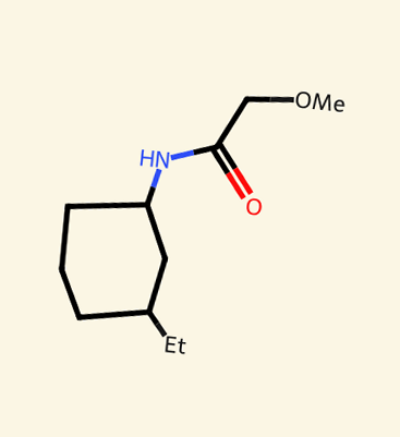 CCC1CCCC(NC(=O)COC)C1